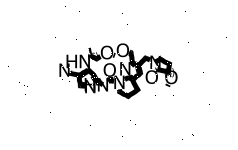 COC[C@H](C)Nc1cc(NC(=O)N2CCCc3cc(CN4CC[C@H](OC)C4=O)c(C=O)nc32)ncc1C#N